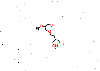 CCOC(CO)COCCC(CO)CO